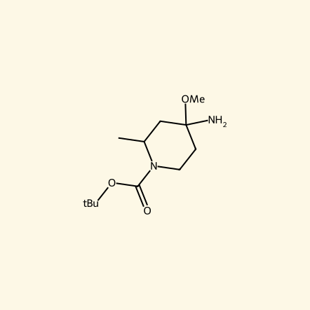 COC1(N)CCN(C(=O)OC(C)(C)C)C(C)C1